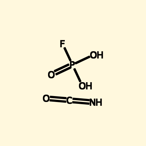 N=C=O.O=P(O)(O)F